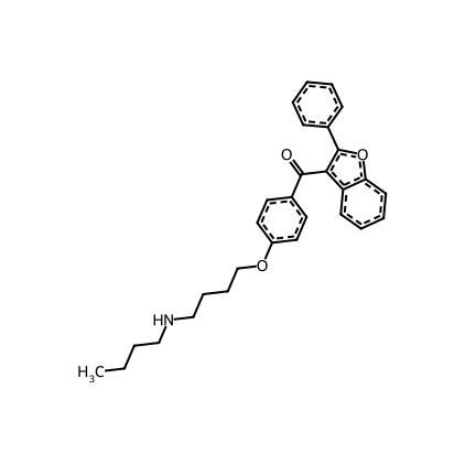 CCCCNCCCCOc1ccc(C(=O)c2c(-c3ccccc3)oc3ccccc23)cc1